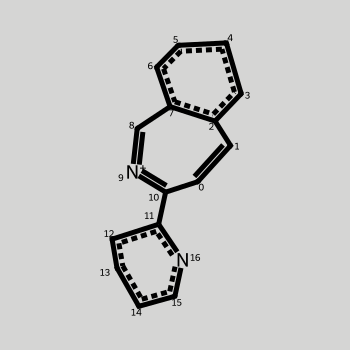 C1=Cc2ccccc2C=[N+]=C1c1ccccn1